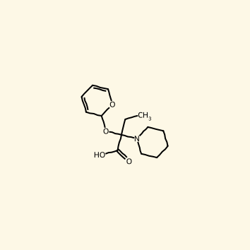 CCC(OC1C=CC=CO1)(C(=O)O)N1CCCCC1